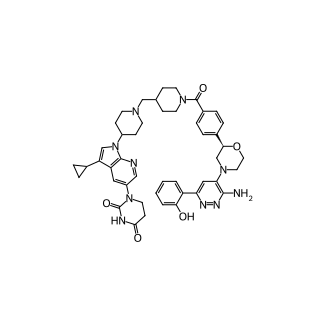 Nc1nnc(-c2ccccc2O)cc1N1CCO[C@H](c2ccc(C(=O)N3CCC(CN4CCC(n5cc(C6CC6)c6cc(N7CCC(=O)NC7=O)cnc65)CC4)CC3)cc2)C1